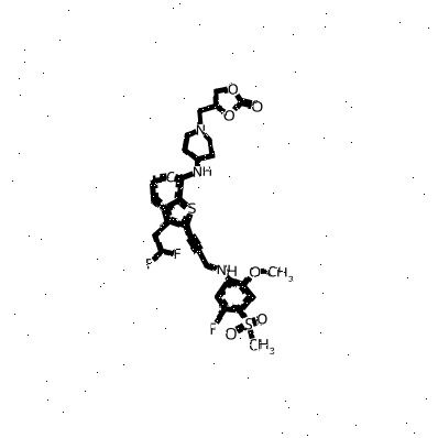 COc1cc(S(C)(=O)=O)c(F)cc1NCC#Cc1sc2c(NC3CCN(CC4COC(=O)O4)CC3)cccc2c1CC(F)F